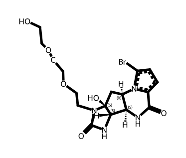 O=C1N[C@@H]2[C@@H](C[C@]3(O)[C@H]2NC(=O)N3CCOCCOCCO)n2c(Br)ccc21